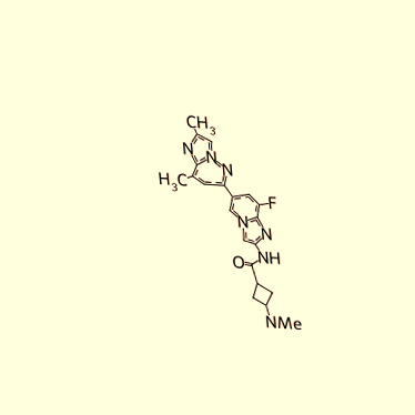 CNC1CC(C(=O)Nc2cn3cc(-c4cc(C)c5nc(C)cn5n4)cc(F)c3n2)C1